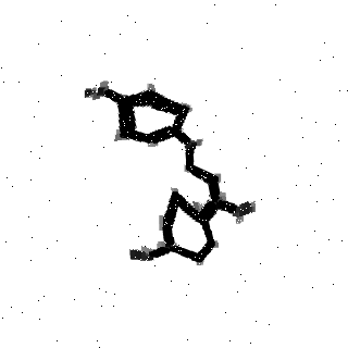 CCCCN(CCOc1ccc(C)cc1)C1CCN(C(C)(C)C)CC1